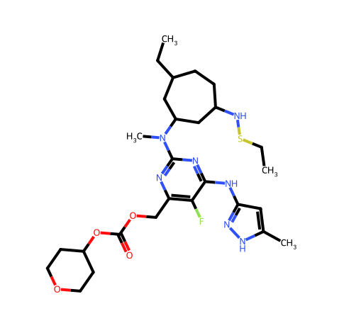 CCSNC1CCC(CC)CC(N(C)c2nc(COC(=O)OC3CCOCC3)c(F)c(Nc3cc(C)[nH]n3)n2)C1